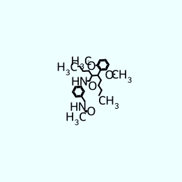 CCCCCC(c1c(OC)cccc1OC)C(CCCC)C(=O)Nc1cccc(CNC(C)=O)c1